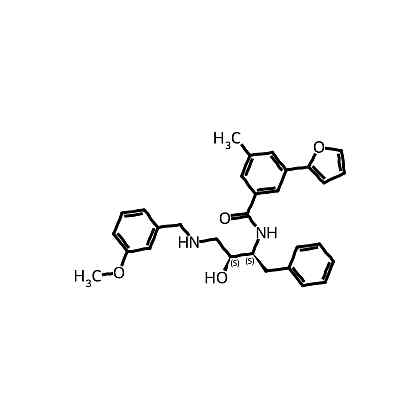 COc1cccc(CNC[C@H](O)[C@H](Cc2ccccc2)NC(=O)c2cc(C)cc(-c3ccco3)c2)c1